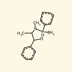 B[PH]1(c2ccccc2)OC(c2ccccc2)C(C)N1C